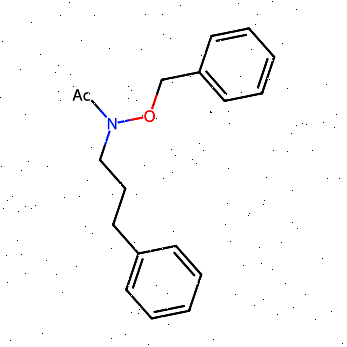 CC(=O)N(CCCc1ccccc1)OCc1ccccc1